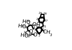 Cc1cc(OCF)c([C@@H]2O[C@H](CO)[C@@H](O)[C@H](O)[C@H]2O)cc1Cc1ccc2c(c1)CC2